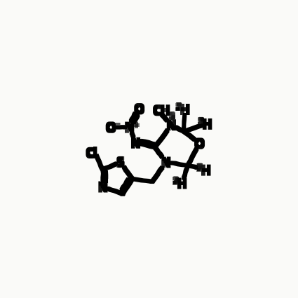 [2H]C1([2H])OC([2H])([2H])N(Cc2cnc(Cl)s2)/C(=N/[N+](=O)[O-])N1C